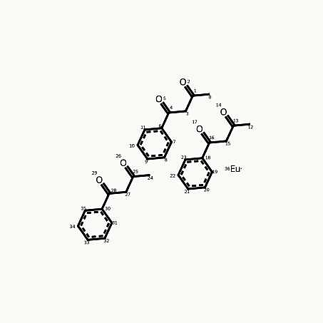 CC(=O)CC(=O)c1ccccc1.CC(=O)CC(=O)c1ccccc1.CC(=O)CC(=O)c1ccccc1.[Eu]